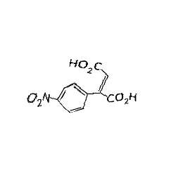 O=C(O)/C=C(/C(=O)O)c1ccc([N+](=O)[O-])cc1